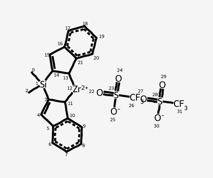 C[Si]1(C)C2=Cc3ccccc3[CH]2[Zr+2][CH]2C1=Cc1ccccc12.O=S(=O)([O-])C(F)(F)F.O=S(=O)([O-])C(F)(F)F